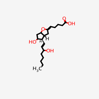 CCCCCC(O)C=C[C@H]1C(O)CC2OC(=CCCCC(=O)O)C[C@@H]21